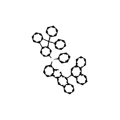 c1ccc(N(c2ccc3c(c2)C(c2ccccc2)(c2ccccc2)c2ccccc2-3)c2cccc3c2oc2c(-c4cc5ccccc5c5ccccc45)c4ccccc4cc23)cc1